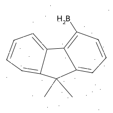 Bc1cccc2c1-c1ccccc1C2(C)C